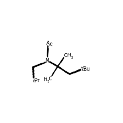 CC(=O)N(CC(C)C)C(C)(C)CC(C)(C)C